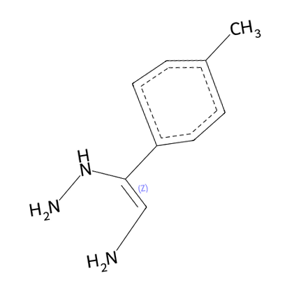 Cc1ccc(/C(=C/N)NN)cc1